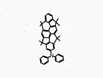 CC1(C)c2cccc3c2-c2c1cc1c4c5c(cc(c24)C3(C)C)C(C)(C)c2cc(N(c3ccccc3)c3ccccc3)cc(c2-5)C1(C)C